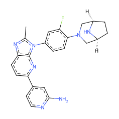 Cc1nc2ccc(-c3ccnc(N)c3)nc2n1-c1ccc(N2C[C@H]3CC[C@@H](C2)N3)c(F)c1